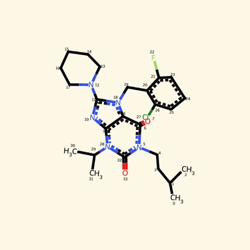 CC(C)CCn1c(=O)c2c(nc(N3CCCCC3)n2Cc2c(F)cccc2Cl)n(C(C)C)c1=O